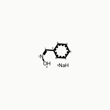 O/N=C\c1ccccc1.[NaH]